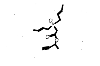 C#CC(C)OC(=O)CP(=O)(C/C=C/C)C/C=C/C